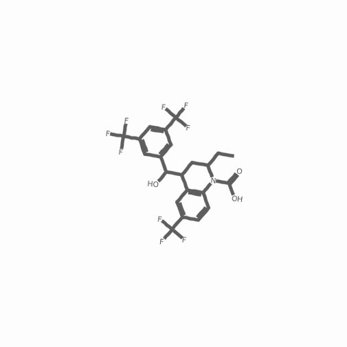 CCC1CC(C(O)c2cc(C(F)(F)F)cc(C(F)(F)F)c2)c2cc(C(F)(F)F)ccc2N1C(=O)O